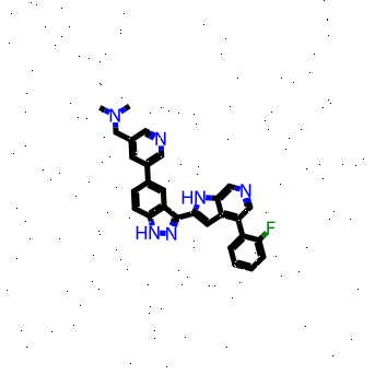 CN(C)Cc1cncc(-c2ccc3[nH]nc(-c4cc5c(-c6ccccc6F)cncc5[nH]4)c3c2)c1